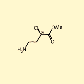 COC(=O)[C@H](Cl)CCN